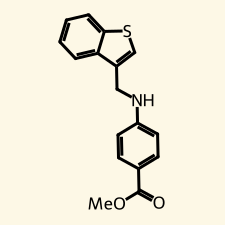 COC(=O)c1ccc(NCc2csc3ccccc23)cc1